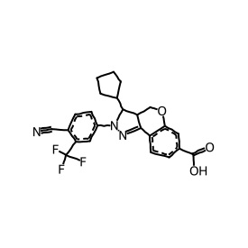 N#Cc1ccc(N2N=C3c4ccc(C(=O)O)cc4OCC3C2C2CCCC2)cc1C(F)(F)F